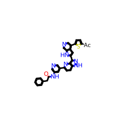 CC(=O)c1ccc(-c2cncc3[nH]c(-c4n[nH]c5ccc(-c6cncc(NC(=O)Cc7ccccc7)c6)nc45)cc23)s1